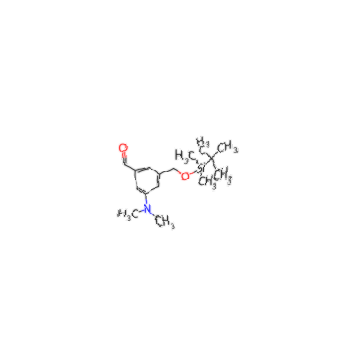 CN(C)c1cc(C=O)cc(CO[Si](C)(C)C(C)(C)C)c1